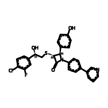 O=C1[C@H](SC[C@@H](O)c2ccc(Cl)c(F)c2)[C@@H](c2ccc(O)cc2)N1c1ccc(-c2cccnc2)cc1